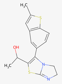 Cc1cc2cc(C3=C(C(C)O)SC4=NCCN43)ccc2s1